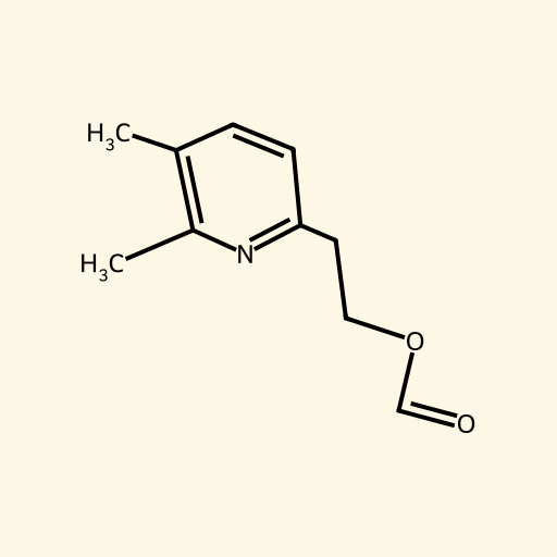 Cc1ccc(CCOC=O)nc1C